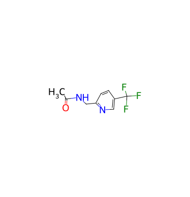 CC(=O)NCc1ccc(C(F)(F)F)cn1